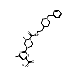 COC(=O)c1cc(C)nc(N2CCN(C(=O)NCCC3CCN(Cc4ccccc4)CC3)[C@H](C)C2)n1